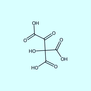 O=C(O)C(=O)C(O)(C(=O)O)C(=O)O